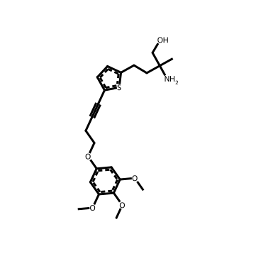 COc1cc(OCCC#Cc2ccc(CCC(C)(N)CO)s2)cc(OC)c1OC